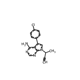 C#CC(C)n1cc(-c2ccc(Cl)cc2)c2c(N)ncnc21